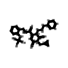 O=C(NCc1ccccc1OC(F)(F)F)c1cc(=O)n(CC2CC2)c(=O)n1COCc1ccccc1